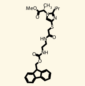 COC(=O)[C@H](C)n1cc(SCC(=O)NCCNC(=O)OCC2c3ccccc3-c3ccccc32)nc1C(C)C